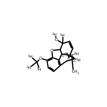 [2H]OC1([2H])C=C[C@]2([2H])[C@@]34CCN(C)[C@]2([2H])Cc2ccc(OC([2H])([2H])[2H])c(c23)OC14